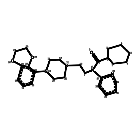 O=C(C1CCCCC1)N(CCN1CCN(c2cccc3c2OCCO3)CC1)c1ccccn1